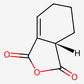 O=C1OC(=O)[C@H]2CCCC=C12